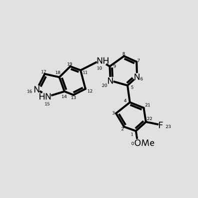 COc1ccc(-c2nccc(Nc3ccc4[nH]ncc4c3)n2)cc1F